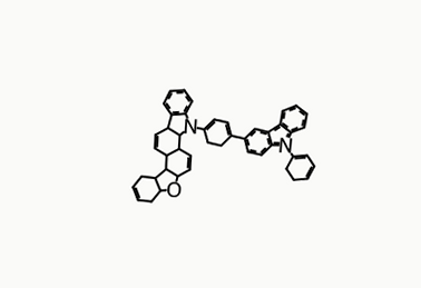 C1=CCCC(n2c3ccccc3c3cc(C4=CC=C(N5c6ccccc6C6C=CC7C(C=CC8OC9CC=CCC9C87)C65)CC4)ccc32)=C1